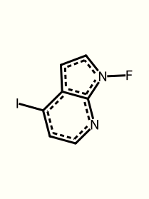 Fn1ccc2c(I)ccnc21